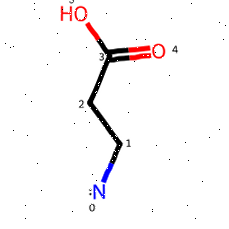 [N]CCC(=O)O